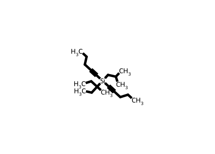 CCCC#C[Si](C#CCCC)(CC(C)C)C(C)(CC)CC